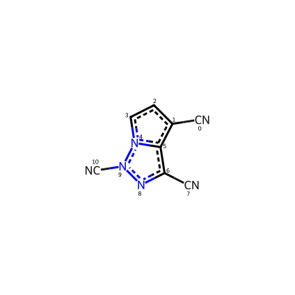 N#Cc1ccn2c1c(C#N)nn2C#N